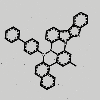 Cc1cc2c3c(c1)-n1c4sc5ccccc5c4c4cccc(c41)B3N(c1ccc(-c3ccccc3)cc1)c1ccc3ccccc3c1-2